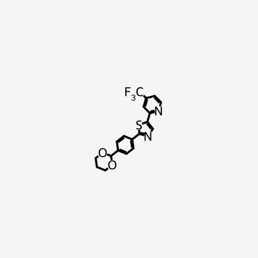 FC(F)(F)c1ccnc(-c2cnc(-c3ccc(C4OCCCO4)cc3)s2)c1